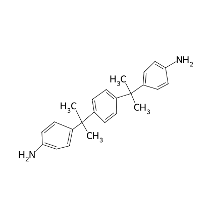 CC(C)(c1ccc(N)cc1)c1ccc(C(C)(C)c2ccc(N)cc2)cc1